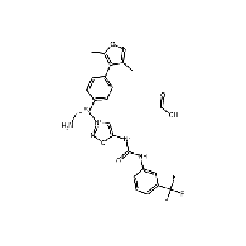 Cc1noc(C)c1-c1ccc([C@@H](CN)[n+]2cc([N-]C(=O)Nc3cccc(C(F)(F)F)c3)on2)cc1.O=CO